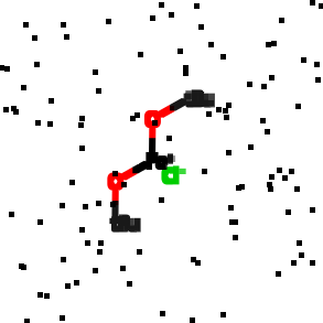 CC(C)(C)[O][Fe+][O]C(C)(C)C.[Cl-]